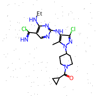 CCNc1nc(Nc2c(Cl)nn(C3CCN(C(=O)C4CC4)CC3)c2C)ncc1C(=N)Cl